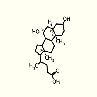 CC(CCC(=O)O)C1CCC2C3C(CC[C@]12C)[C@@]1(C)CCC(O)C[C@H]1C[C@H]3O